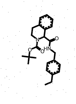 CCc1ccc(CNC(=O)C2c3ccccc3CCN2C(=O)OC(C)(C)C)cc1